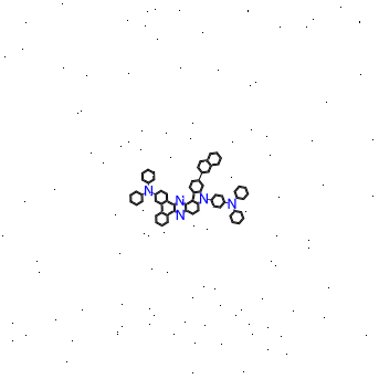 c1ccc(N(c2ccccc2)c2ccc(-n3c4cc(-c5ccc6ccccc6c5)ccc4c4c5nc6c7ccc(N(c8ccccc8)c8ccccc8)cc7c7ccccc7c6nc5ccc43)cc2)cc1